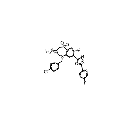 N[C@@H]1CN(Cc2ccc(Cl)cc2)c2cc(-c3nnc(-c4ccc(F)cn4)o3)c(F)cc2S(=O)(=O)C1